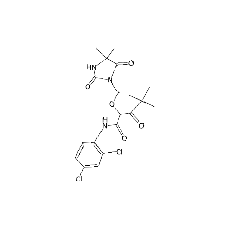 CC(C)(C)C(=O)C(OCN1C(=O)NC(C)(C)C1=O)C(=O)Nc1ccc(Cl)cc1Cl